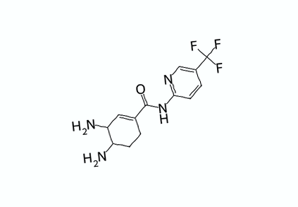 NC1C=C(C(=O)Nc2ccc(C(F)(F)F)cn2)CCC1N